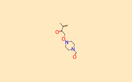 C=C(C)C(=O)CON1CCN(C=O)CC1